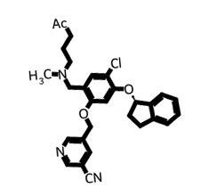 CC(=O)CCCN(C)Cc1cc(Cl)c(O[C@H]2CCc3ccccc32)cc1OCc1cncc(C#N)c1